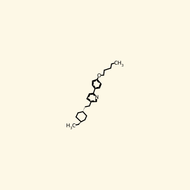 CCCCCOc1ccc(-c2ccc(CC[C@H]3CC[C@H](CC)CC3)cn2)cc1